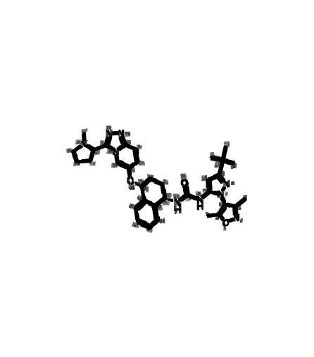 Cc1noc(C)c1-n1nc(C(C)(C)C)cc1NC(=O)N[C@H]1CC[C@@H](Oc2ccc3nnc(C4CCCN4C)n3c2)c2ccccc21